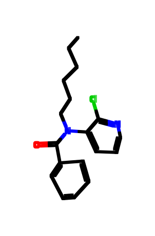 CCCCCCN(C(=O)c1ccccc1)c1cccnc1Cl